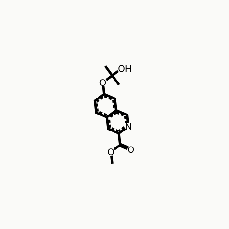 COC(=O)c1cc2ccc(OC(C)(C)O)cc2cn1